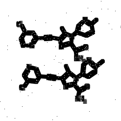 Cc1ccc(-n2c(C(N)=O)nc(C#Cc3cc(Cl)ccn3)c2C)cn1.Cc1ccc(-n2c(C(N)=O)nc(C#Cc3cncc(Cl)c3)c2C)cn1